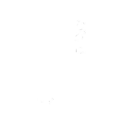 Cn1c2ccncc2c2ccc(-c3ccc(OCCCCOCCCCOC4CCN(C(=O)OC(C)(C)C)CC4)nc3)cc21